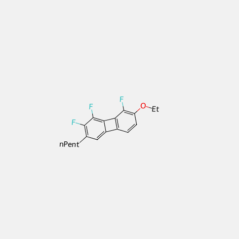 CCCCCc1cc2c(c(F)c1F)-c1c-2ccc(OCC)c1F